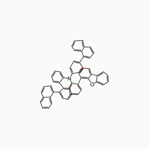 c1ccc(-c2cccc3ccccc23)c(-c2ccccc2N(c2ccc(-c3cccc4ccccc34)cc2)c2ccccc2-c2cccc3c2oc2ccccc23)c1